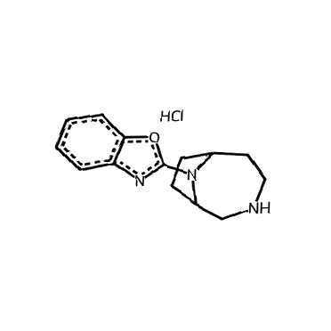 Cl.c1ccc2oc(N3C4CCNCC3CC4)nc2c1